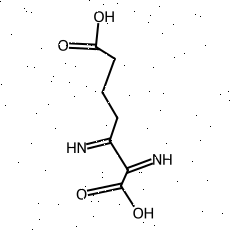 N=C(CCCC(=O)O)C(=N)C(=O)O